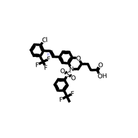 CC(F)(F)c1cccc(S(=O)(=O)N2CC(CCC(=O)O)Oc3ccc(/C=C/c4c(Cl)cccc4C(F)(F)F)cc32)c1